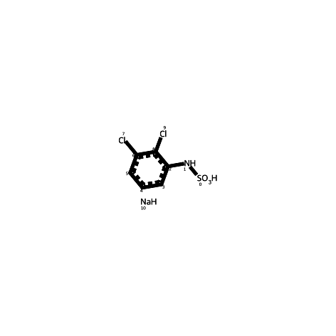 O=S(=O)(O)Nc1cccc(Cl)c1Cl.[NaH]